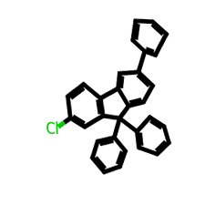 Clc1ccc2c(c1)C(c1ccccc1)(c1ccccc1)c1ccc(-c3ccccc3)cc1-2